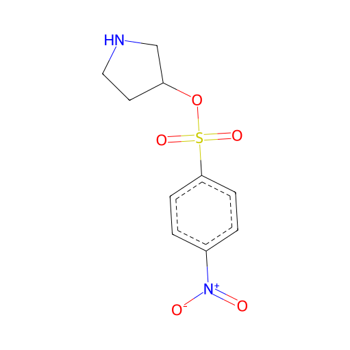 O=[N+]([O-])c1ccc(S(=O)(=O)OC2CCNC2)cc1